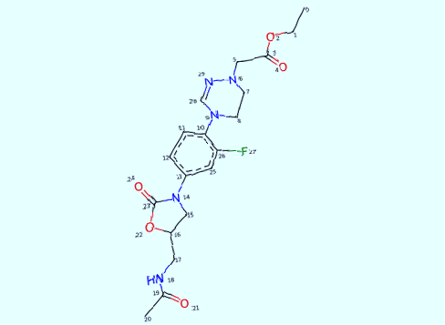 CCOC(=O)CN1CCN(c2ccc(N3CC(CNC(C)=O)OC3=O)cc2F)C=N1